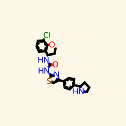 O=C(Nc1nc(-c2ccc(C3CCCN3)cc2)cs1)N[C@H]1CCOc2c(Cl)cccc21